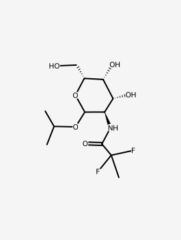 CC(C)OC1O[C@H](CO)[C@H](O)[C@H](O)[C@H]1NC(=O)C(C)(F)F